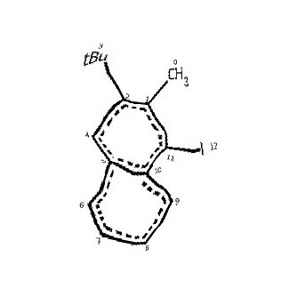 Cc1c(C(C)(C)C)cc2ccccc2c1I